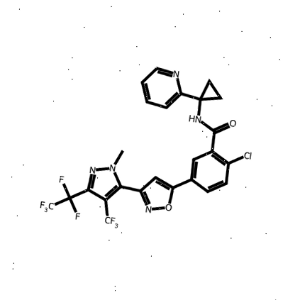 Cn1nc(C(F)(F)C(F)(F)F)c(C(F)(F)F)c1-c1cc(-c2ccc(Cl)c(C(=O)NC3(c4ccccn4)CC3)c2)on1